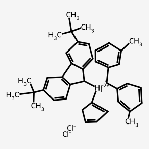 Cc1cccc([C](c2cccc(C)c2)=[Hf+2]([C]2=CC=CC2)[CH]2c3ccc(C(C)(C)C)cc3-c3cc(C(C)(C)C)ccc32)c1.[Cl-].[Cl-]